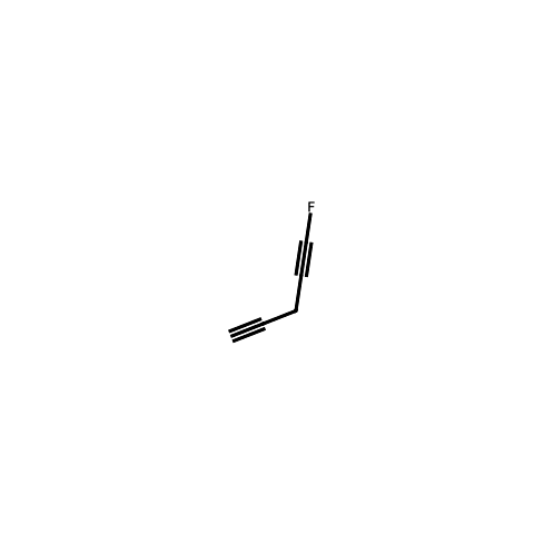 C#CCC#CF